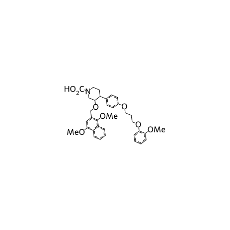 COc1ccccc1OCCCOc1ccc(C2CCN(C(=O)O)CC2OCc2cc(OC)c3ccccc3c2OC)cc1